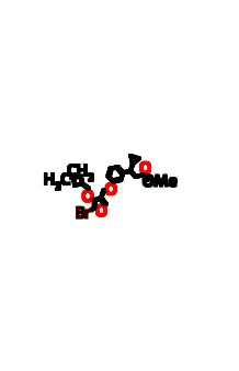 COC(=O)CC(c1cccc(OCc2coc(Br)c2OCC2CC(C)(C)C2)c1)C1CC1